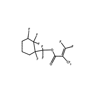 O=C(OC(F)(F)C1(F)CCCC(F)C1(F)F)C(=C(F)F)C(F)(F)F